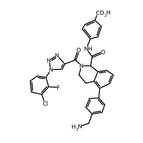 NCc1ccc(-c2cccc3c2CCN(C(=O)c2cn(-c4cccc(Cl)c4F)nn2)C3C(=O)Nc2ccc(C(=O)O)cc2)cc1